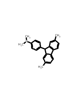 Cc1ccc2c(c1)C(c1ccc(N(C)C)cc1)c1cc(C)ccc1-2